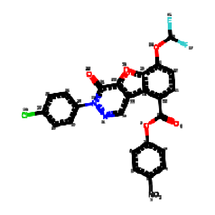 O=C(Oc1ccc([N+](=O)[O-])cc1)c1ccc(OC(F)F)c2oc3c(=O)n(-c4ccc(Cl)cc4)ncc3c12